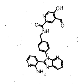 Nc1ncccc1-c1nc2cccnc2n1-c1ccc(CNC(=O)c2cc(C=O)c(O)cn2)cc1